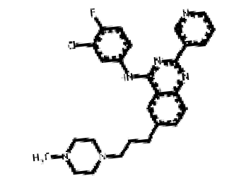 CN1CCN(CCCc2ccc3nc(-c4cccnc4)nc(Nc4ccc(F)c(Cl)c4)c3c2)CC1